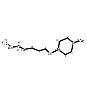 CC(=O)N1CCN(SCCCSNSC(F)(F)F)CC1